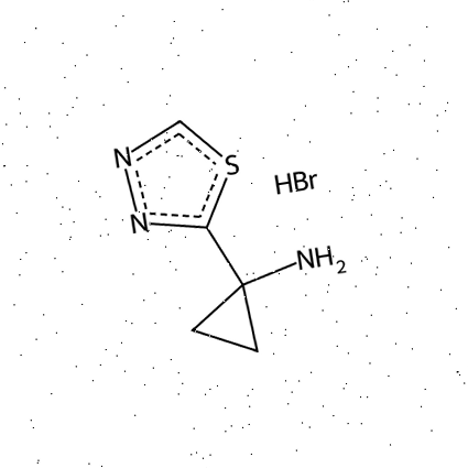 Br.NC1(c2nncs2)CC1